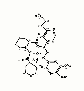 COc1ccc(CC[C@@H](OC(=O)[C@@H]2CCCCN2C(=O)C(=O)[C@]2(O)CCCC[C@H]2C)c2cccc(OCC(=O)O)c2)cc1OC